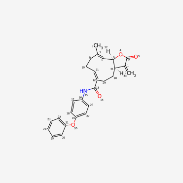 C=C1C(=O)O[C@@H]2/C=C(\C)CC/C=C(\C(=O)Nc3ccc(Oc4ccccc4)cc3)CC[C@H]12